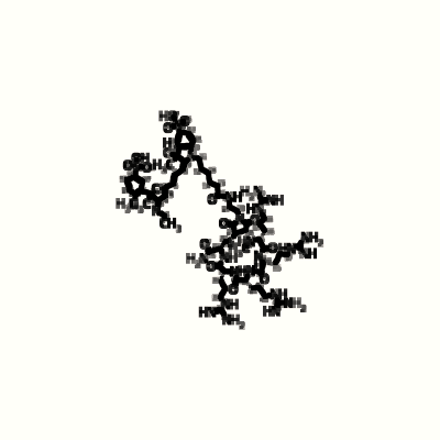 CC\N=C(/C=C/C=C/C=C1/N(CCCCCC(=O)NCCN2C(=O)CC(SC[C@@H](NC(=O)[C@@H](CCCNC(=N)N)NC(=O)[C@@H](CCCNC(=N)N)NC(=O)[C@@H](CCCNC(=N)N)NC(=O)[C@@H](CCCNC(=N)N)NC)C(N)=O)C2=O)c2ccc(S(=O)(=O)O)cc2C1(C)C)C(C)(C)c1cc(S(=O)(=O)O)ccc1C